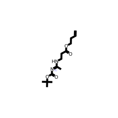 C=CCCOC(=O)CCN/C(C)=N/C(=O)OC(C)(C)C